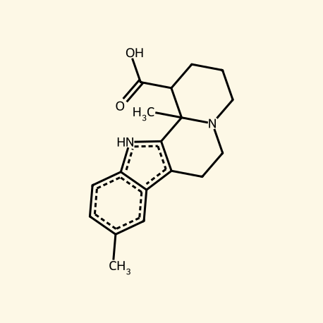 Cc1ccc2[nH]c3c(c2c1)CCN1CCCC(C(=O)O)C31C